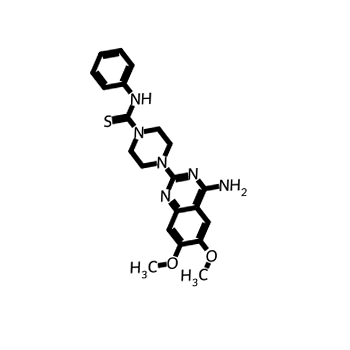 COc1cc2nc(N3CCN(C(=S)Nc4ccccc4)CC3)nc(N)c2cc1OC